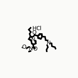 CCCCc1cc2cc(C(=O)N(CC)CCOC)ccn2c1C(=O)c1ccc(CCCN(CCCC)CCCC)cc1.Cl